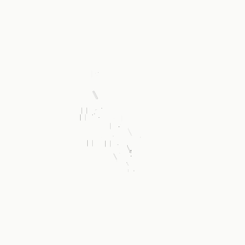 CC1=C[C@@H]2[C@H]([C@@H](O)C[C@@]3(C)[C@H]2CC[C@@]3(O)C#CCBr)[C@@]2(C)C=CC(=O)C=C12